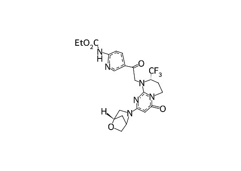 CCOC(=O)Nc1ccc(C(=O)CN2c3nc(N4C[C@@H]5CC4CO5)cc(=O)n3CC[C@H]2C(F)(F)F)cn1